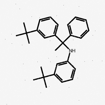 CC(C)(C)c1cccc(NC(C)(c2ccccc2)c2cccc(C(C)(C)C)c2)c1